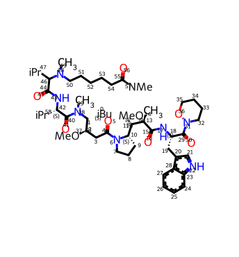 CC[C@H](C)C([C@@H](CC(=O)N1CCC[C@H]1[C@H](OC)[C@@H](C)C(=O)N[C@@H](Cc1c[nH]c2ccccc12)C(=O)N1CCCCO1)OC)N(C)C(=O)[C@@H](NC(=O)C(C(C)C)N(C)CCCCCC(=O)NC)C(C)C